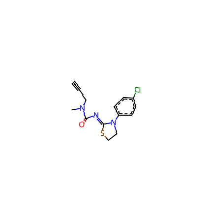 C#CCN(C)C(=O)N=C1SCCN1c1ccc(Cl)cc1